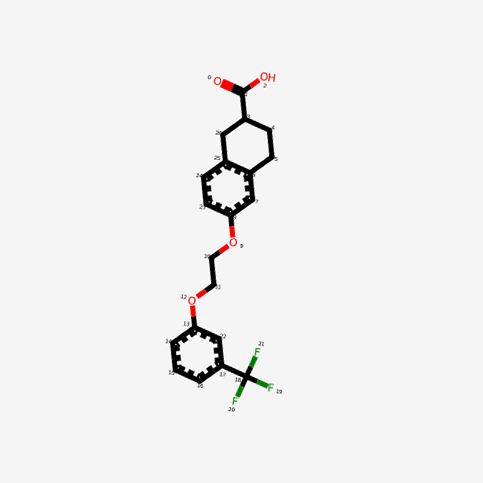 O=C(O)C1CCc2cc(OCCOc3cccc(C(F)(F)F)c3)ccc2C1